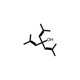 CC(C)=CC(O)(C=C(C)C)C=C(C)C